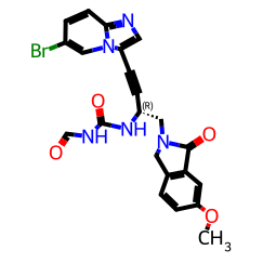 COc1ccc2c(c1)C(=O)N(C[C@@H](C#Cc1cnc3ccc(Br)cn13)NC(=O)NC=O)C2